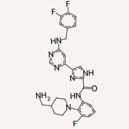 NCC1CCN(c2c(F)cccc2NC(=O)c2nc(-c3cc(NCc4ccc(F)c(F)c4)ncn3)c[nH]2)CC1